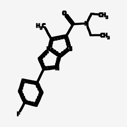 CCN(CC)C(=O)c1sc2nc(-c3ccc(F)cc3)cn2c1C